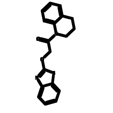 O=C(COc1nc2ccccc2s1)N1CCCc2ccccc21